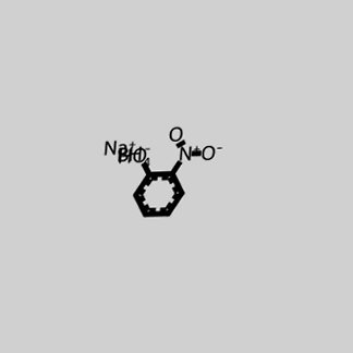 O=[N+]([O-])c1ccccc1O.[BH4-].[Na+]